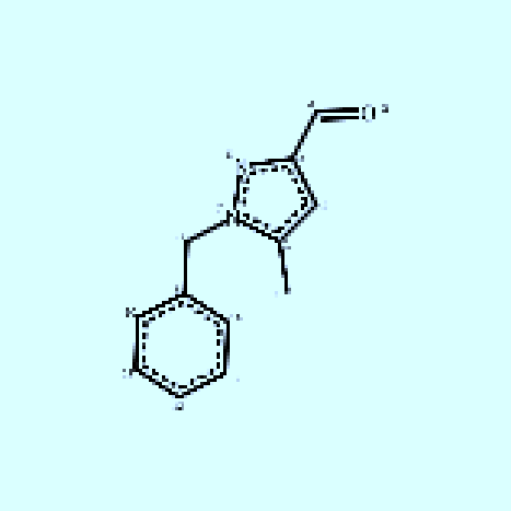 Cc1cc(C=O)nn1Cc1ccccc1